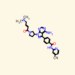 CN(C)CC=CC(=O)N1CCC(n2nc(-c3ccc(C(=O)Nc4cc(C#N)ccn4)cc3)c3c(N)ncnc32)C1